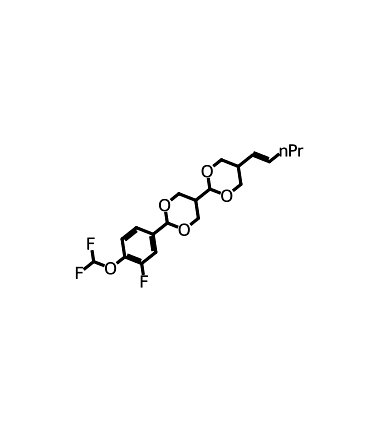 CCC/C=C/C1COC(C2COC(c3ccc(OC(F)F)c(F)c3)OC2)OC1